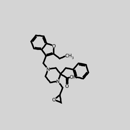 CCc1oc2ccccc2c1CN1CCN(CC2CO2)C(Cc2ccccc2)(C(=O)O)C1